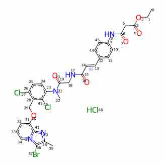 CCOC(=O)CC(=O)Nc1ccc(/C=C/C(=O)NCC(=O)N(C)c2ccc(Cl)c(COc3cccn4c(Br)c(C)nc34)c2Cl)cc1.Cl